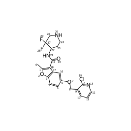 Cc1oc2ccc(OCc3cccnc3Cl)cc2c1C(=O)NC1CCNCC1(F)F